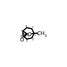 CC12CCCC(CC1)C(=O)O2